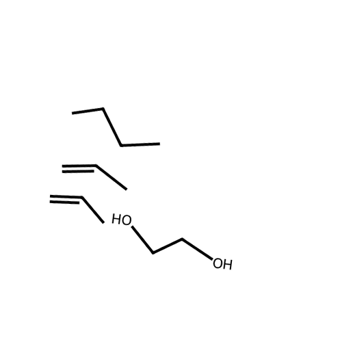 C=CC.C=CC.CCCC.OCCO